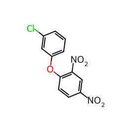 O=[N+]([O-])c1ccc(Oc2cccc(Cl)c2)c([N+](=O)[O-])c1